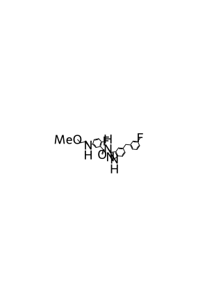 COCCNc1ccc(F)c(C(=O)Nc2n[nH]c3ccc(Cc4cccc(F)c4)cc23)c1